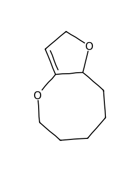 C1=C2OCCCCCC2OC1